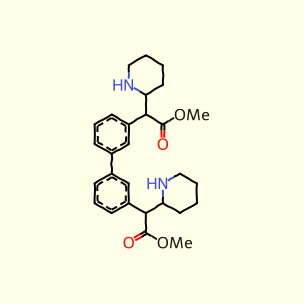 COC(=O)C(c1cccc(-c2cccc(C(C(=O)OC)C3CCCCN3)c2)c1)C1CCCCN1